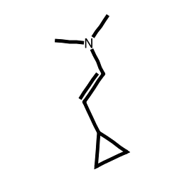 CN(C)C=CC1CC1